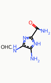 NC(=O)c1nc(NC=O)c(N)[nH]1